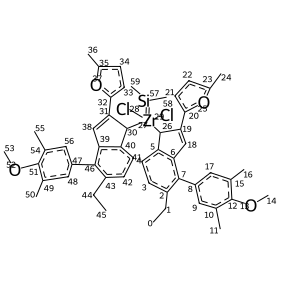 CCc1ccc2c(c1-c1cc(C)c(OC)c(C)c1)C=C(c1ccc(C)o1)[CH]2[Zr]([Cl])([Cl])([CH]1C(c2ccc(C)o2)=Cc2c1ccc(CC)c2-c1cc(C)c(OC)c(C)c1)=[Si](C)C